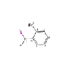 CC(C)c1ccccc1C(C)I